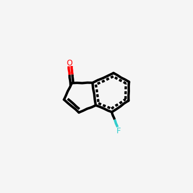 O=C1C=Cc2c(F)cccc21